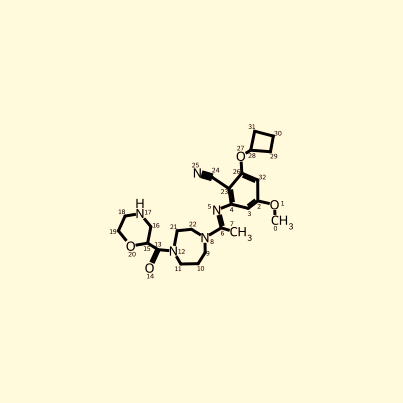 COc1cc(N=C(C)N2CCCN(C(=O)C3CNCCO3)CC2)c(C#N)c(OC2CCC2)c1